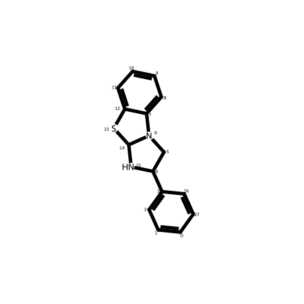 c1ccc(C2CN3c4ccccc4SC3N2)cc1